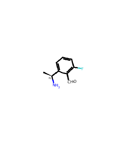 C[C@H](N)c1cccc(F)c1C=O